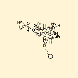 CC(C)C[C@H](NC(=O)[C@@H]1C[C@@H](OCCCCc2ccccc2)CN1C(=O)CCOCCOCCNC(=O)[C@@H](N)CS)C(=O)N[C@@H](Cc1cnc[nH]1)C(=O)N[C@@H](C)C(=O)N[C@H](C(N)=O)[C@@H](C)CP(=O)(O)O